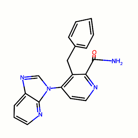 NC(=O)c1nccc(-n2cnc3cccnc32)c1Cc1ccccc1